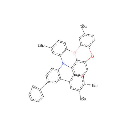 CC(C)(C)c1ccc2c(c1)B1c3ccc(C(C)(C)C)cc3N(c3ccc(-c4ccccc4)cc3-c3ccc(C(C)(C)C)c(C(C)(C)C)c3)c3cccc(c31)O2